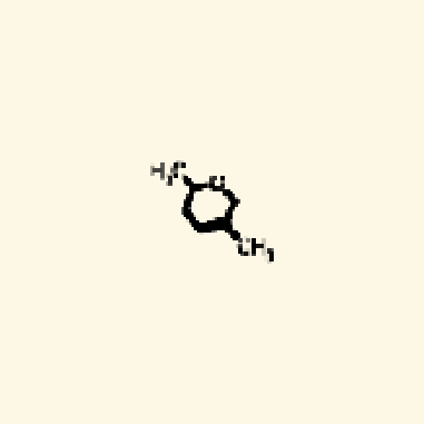 CC1=CCC(C)OC1